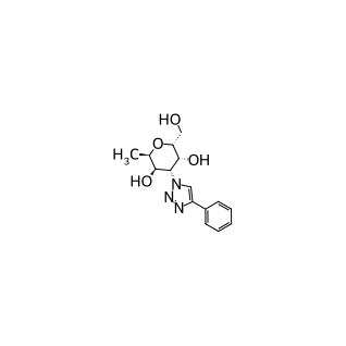 C[C@H]1O[C@H](CO)[C@H](O)[C@H](n2cc(-c3ccccc3)nn2)[C@H]1O